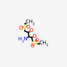 C=CS(=O)(=O)CC(=O)C(N)C(=O)CS(=O)(=O)C=C